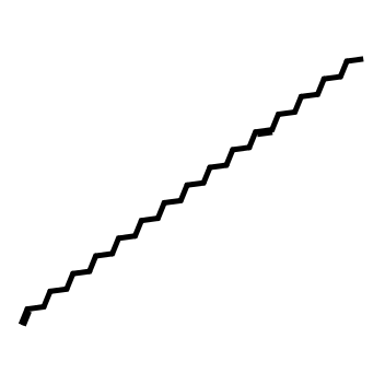 C=CCCCCCCCCCCCCCCCCCCCC=CCCCCCCCC